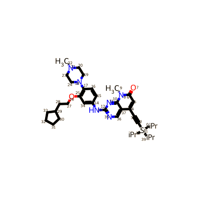 CC(C)[Si](C#Cc1cc(=O)n(C)c2nc(Nc3ccc(N4CCN(C)CC4)c(OCCC4CCCC4)c3)ncc12)(C(C)C)C(C)C